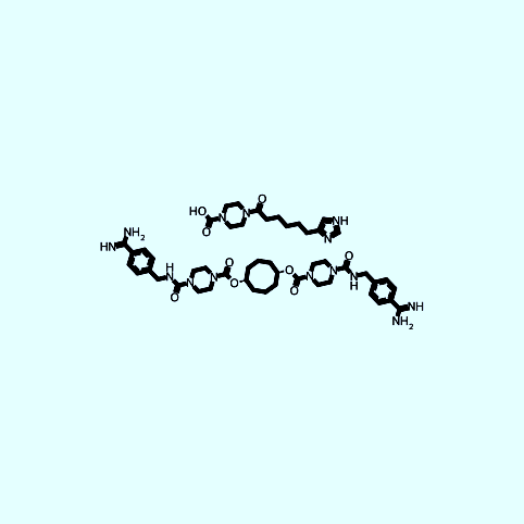 N=C(N)c1ccc(CNC(=O)N2CCN(C(=O)O[C@H]3CCC[C@@H](OC(=O)N4CCN(C(=O)NCc5ccc(C(=N)N)cc5)CC4)CCC3)CC2)cc1.O=C(O)N1CCN(C(=O)CCCCCc2c[nH]cn2)CC1